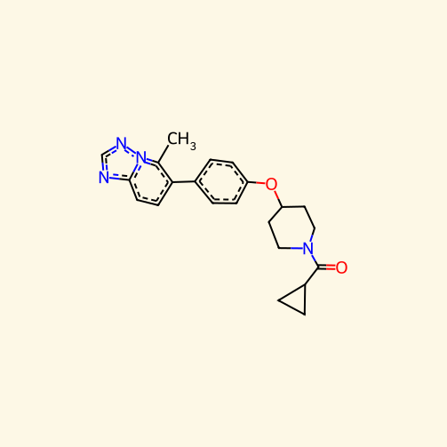 Cc1c(-c2ccc(OC3CCN(C(=O)C4CC4)CC3)cc2)ccc2ncnn12